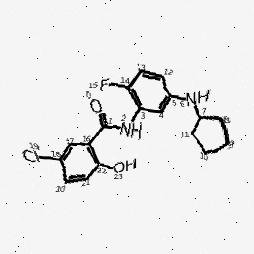 O=C(Nc1cc(NC2CCCC2)ccc1F)c1cc(Cl)ccc1O